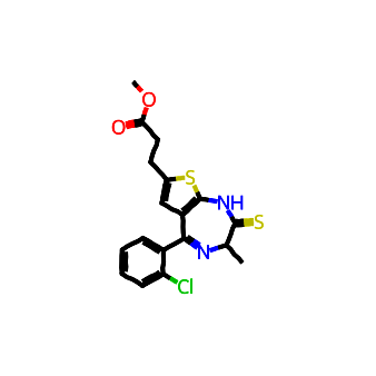 COC(=O)CCc1cc2c(s1)NC(=S)C(C)N=C2c1ccccc1Cl